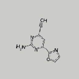 C#Cc1cc(-c2ncco2)nc(N)n1